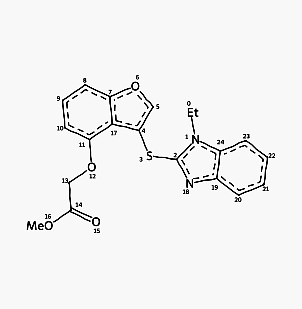 CCn1c(Sc2coc3cccc(OCC(=O)OC)c23)nc2ccccc21